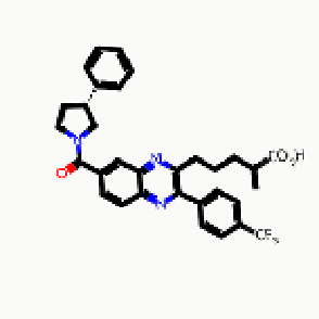 CC(CCCc1nc2cc(C(=O)N3CC[C@H](c4ccccc4)C3)ccc2nc1-c1ccc(C(F)(F)F)cc1)C(=O)O